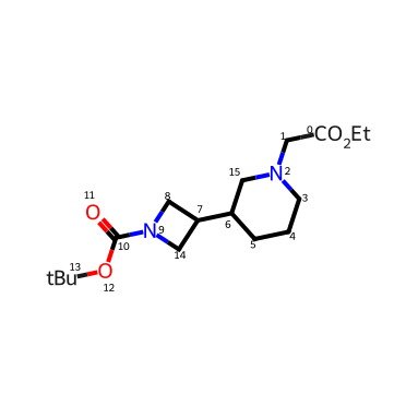 CCOC(=O)CN1CCCC(C2CN(C(=O)OC(C)(C)C)C2)C1